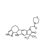 CC1(C)C(=O)N(CC(=O)N2CCSCC2)c2cc3c(cc21)NC1c2n[nH]cc2CCCC31